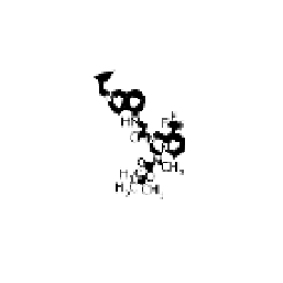 CN(CCN(Cc1ncccc1C(F)(F)F)C(=O)CNc1cccc2c1CCN(CC1CC1)C2)C(=O)OC(C)(C)C